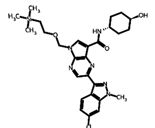 Cn1nc(-c2cnc3c(n2)c(C(=O)N[C@H]2CC[C@H](O)CC2)cn3COCC[Si](C)(C)C)c2ccc(Cl)cc21